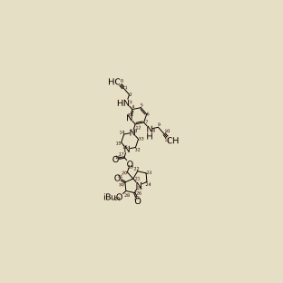 C#CCNc1ccc(NCC#C)c(N2CCN(C(=O)OCC34CCCN3C(=O)C(OCC(C)C)C4=O)CC2)n1